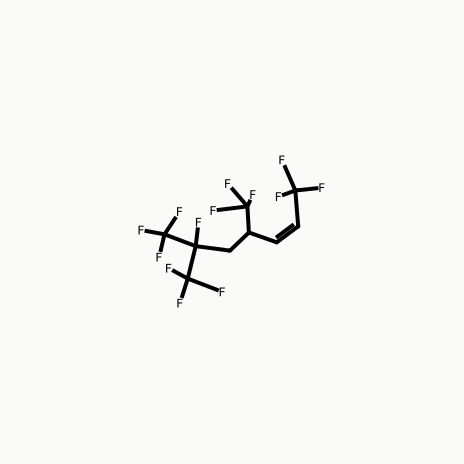 FC(F)(F)/C=C\C(CC(F)(C(F)(F)F)C(F)(F)F)C(F)(F)F